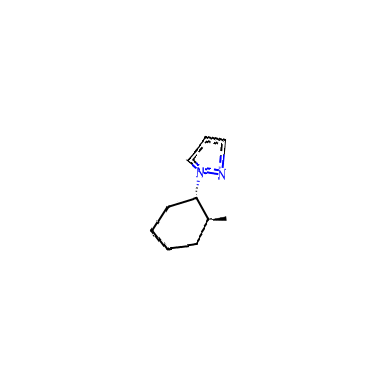 C[C@H]1CCCC[C@@H]1n1cccn1